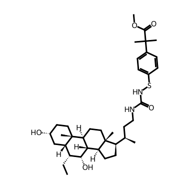 CC[C@H]1[C@@H](O)[C@@H]2[C@H](CC[C@]3(C)[C@@H]([C@H](C)CCNC(=O)NSc4ccc(C(C)(C)C(=O)OC)cc4)CC[C@@H]23)[C@@]2(C)CC[C@@H](O)C[C@@H]12